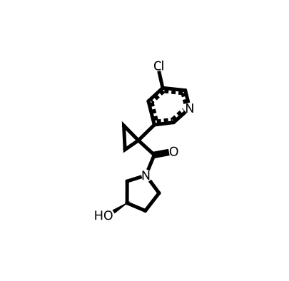 O=C(N1CC[C@@H](O)C1)C1(c2cncc(Cl)c2)CC1